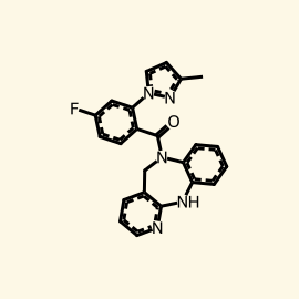 Cc1ccn(-c2cc(F)ccc2C(=O)N2Cc3cccnc3Nc3ccccc32)n1